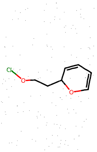 ClOCCC1C=CC=CO1